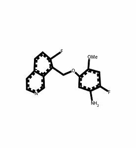 COc1cc(F)c(N)cc1OCc1c(F)ccc2ccncc12